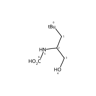 CC(C)(C)CC(CO)NC(=O)O